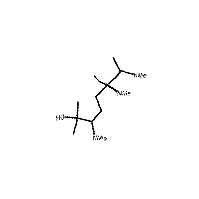 CNC(C[CH]C(C)(NC)C(C)NC)C(C)(C)O